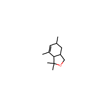 CC1=CC(C)CC2COC(C)(C)C12